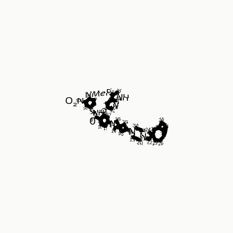 CNc1ccc(SNC(=O)c2ccc(N3CC4(CC(N5CCN(CC6(C)CCC7C8CC(C6)C78)CC5)C4)C3)cc2Oc2cnc3[nH]cc(F)c3c2)cc1[N+](=O)[O-]